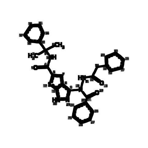 CC(C)(NC(=O)c1cc2c(N(NC(=O)Cc3ccccc3)C(=O)c3ccccc3)n[nH]c2s1)c1ccccc1